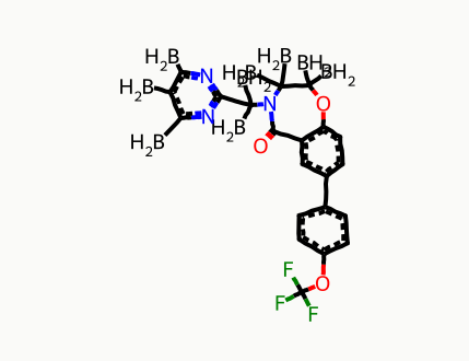 Bc1nc(C(B)(B)N2C(=O)c3cc(-c4ccc(OC(F)(F)F)cc4)ccc3OC(B)(B)C2(B)B)nc(B)c1B